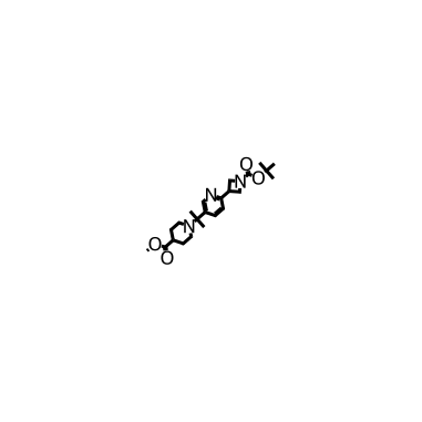 COC(=O)C1CCN(C(C)(C)c2ccc(C3CN(C(=O)OC(C)(C)C)C3)nc2)CC1